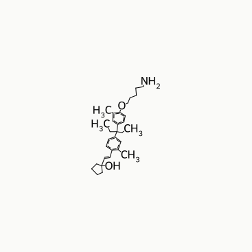 CCC(CC)(c1ccc(/C=C/C2(O)CCCC2)c(C)c1)c1ccc(OCCCCCN)c(C)c1